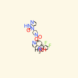 Cc1ccc(F)c(F)c1[C@@H]1CC[C@@H](OC(=O)N2CCC(n3c(=O)[nH]c4ncccc43)CC2)c2ncccc2/C1=N/O